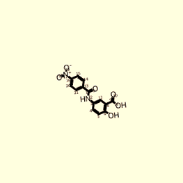 O=C(Nc1ccc(O)c(C(=O)O)c1)c1ccc([N+](=O)[O-])cc1